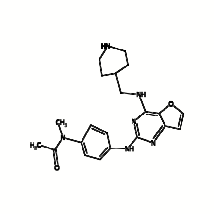 CC(=O)N(C)c1ccc(Nc2nc(NCC3CCNCC3)c3occc3n2)cc1